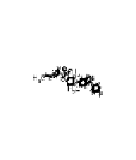 CCCn1cc(S(=O)(=O)N(C)[C@@H]2CCCN(c3cc4cnn(-c5ccc(F)cc5)c4cc3C)C2)cn1